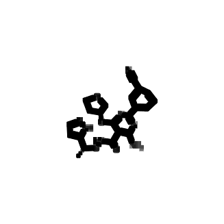 C[C@@H](ONC(=O)c1c(N)nc(-c2cccc(C#N)c2)nc1O[C@H]1CCOC1)c1ccn[nH]1